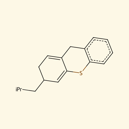 CC(C)CC1C=C2Sc3ccccc3CC2=CC1